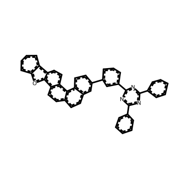 c1ccc(-c2nc(-c3ccccc3)nc(-c3cccc(-c4ccc5c(ccc6ccc7c(ccc8c9ccccc9oc87)c65)c4)c3)n2)cc1